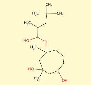 CC(CC(C)(C)C)C(O)OC1(C)CCCC(O)CC(C)(O)C1